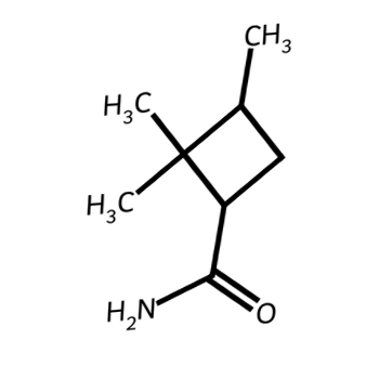 CC1CC(C(N)=O)C1(C)C